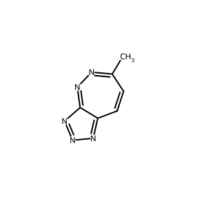 Cc1ccc2nnnc-2nn1